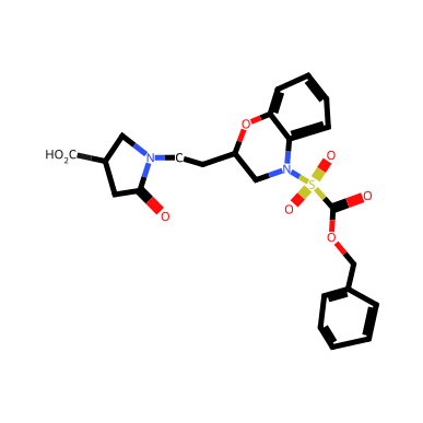 O=C(O)C1CC(=O)N(CCC2CN(S(=O)(=O)C(=O)OCc3ccccc3)c3ccccc3O2)C1